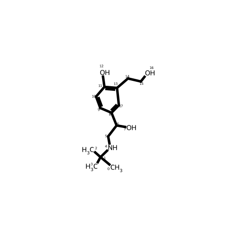 CC(C)(C)NCC(O)c1ccc(O)c(CCO)c1